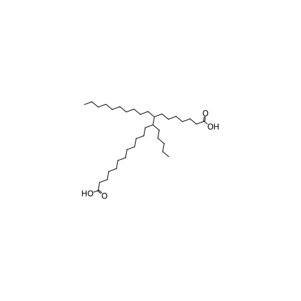 CCCCCCCCCCC(CCCCCCC(=O)O)C(CCCCC)CCCCCCCCCCCC(=O)O